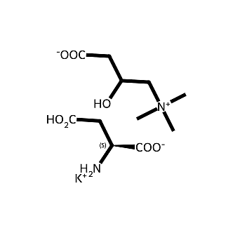 C[N+](C)(C)CC(O)CC(=O)[O-].N[C@@H](CC(=O)O)C(=O)[O-].[K+]